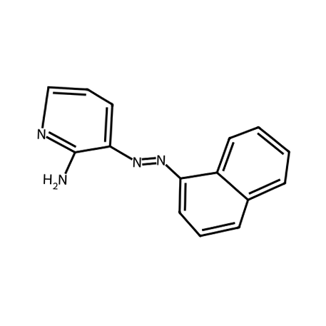 Nc1ncccc1N=Nc1cccc2ccccc12